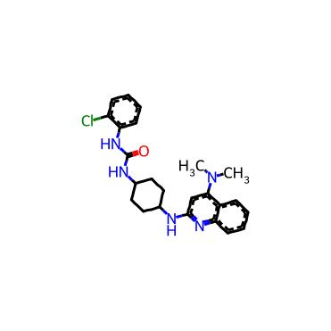 CN(C)c1cc(NC2CCC(NC(=O)Nc3ccccc3Cl)CC2)nc2ccccc12